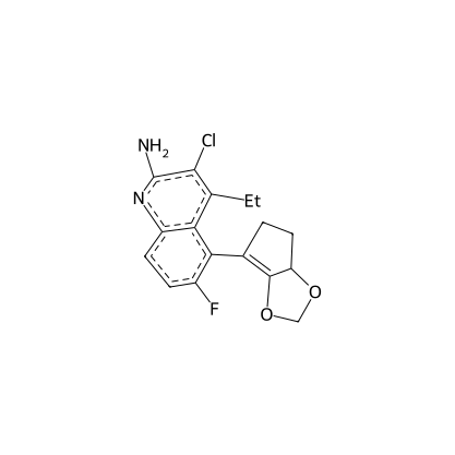 CCc1c(Cl)c(N)nc2ccc(F)c(C3=C4OCOC4CC3)c12